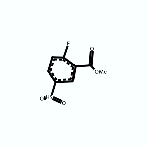 COC(=O)c1cc([SH](=O)=O)ccc1F